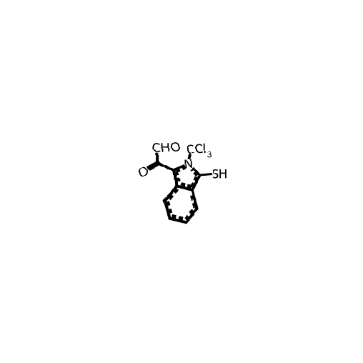 O=CC(=O)c1c2ccccc2c(S)n1C(Cl)(Cl)Cl